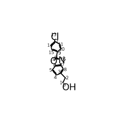 OCCc1ccc2oc(-c3ccc(Cl)cc3)nc2c1